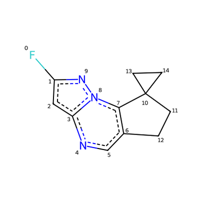 Fc1cc2ncc3c(n2n1)C1(CC3)CC1